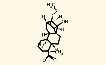 CSC[C@@H]1[C@H]2CC[C@@]3(CC[C@H]4[C@@](C)(CCC[C@@]4(C)C(=O)O)[C@@H]3C2)[C@@H]1O